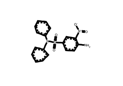 Nc1ccc(S(=O)(=O)N(c2ccccc2)c2ccccc2)cc1[N+](=O)[O-]